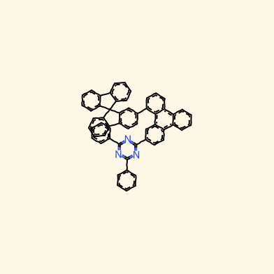 c1ccc(-c2nc(-c3ccccc3)nc(-c3ccc4c5ccccc5c5cccc(-c6ccc7c(c6)C6(c8ccccc8-c8ccccc86)c6ccccc6-7)c5c4c3)n2)cc1